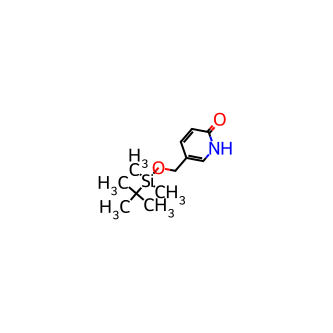 CC(C)(C)[Si](C)(C)OCc1ccc(=O)[nH]c1